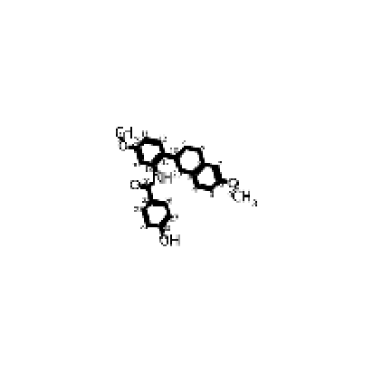 COc1ccc2c(c1)CCC(c1ccc(OC)cc1NC(=O)c1ccc(O)cc1)C2